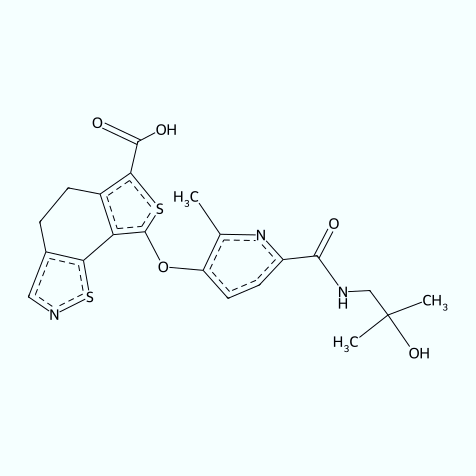 Cc1nc(C(=O)NCC(C)(C)O)ccc1Oc1sc(C(=O)O)c2c1-c1sncc1CC2